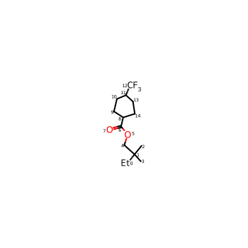 CCC(C)(C)COC(=O)C1CCC(C(F)(F)F)CC1